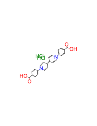 Cl.Cl.O=C(O)c1ccc(N2C=CC(=C3C=CN(c4ccc(C(=O)O)cc4)C=C3)C=C2)cc1